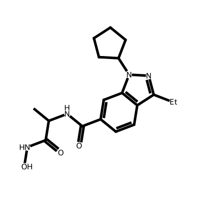 CCc1nn(C2CCCC2)c2cc(C(=O)NC(C)C(=O)NO)ccc12